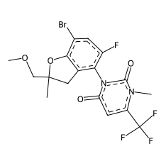 COCC1(C)Cc2c(c(Br)cc(F)c2-n2c(=O)cc(C(F)(F)F)n(C)c2=O)O1